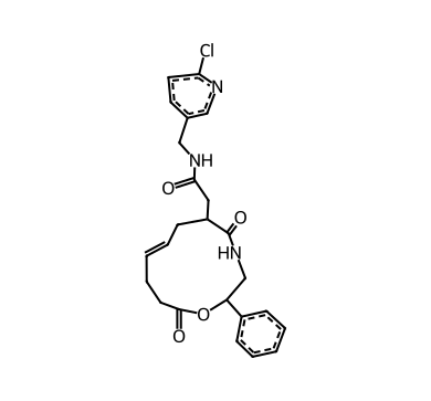 O=C(CC1C/C=C/CCC(=O)OC(c2ccccc2)CNC1=O)NCc1ccc(Cl)nc1